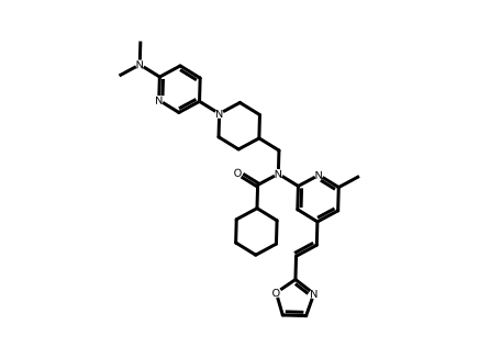 Cc1cc(/C=C/c2ncco2)cc(N(CC2CCN(c3ccc(N(C)C)nc3)CC2)C(=O)C2CCCCC2)n1